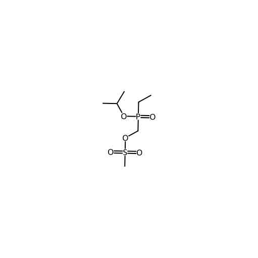 CCP(=O)(COS(C)(=O)=O)OC(C)C